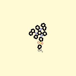 Cc1ccc(S(=O)(=O)c2ccc(-n3c4ccccc4c4c3c3c5ccccc5n(-c5cccc6ccccc56)c3c3c5ccccc5n(-c5cccc6ccccc56)c43)cc2)cc1